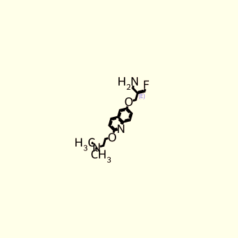 CN(C)CCOc1ccc2cc(OC/C(=C/F)CN)ccc2n1